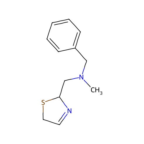 CN(Cc1ccccc1)CC1N=CCS1